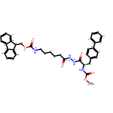 CC(C)(C)OC(=O)N[C@H](Cc1ccc(-c2ccccc2)cc1)C(=O)NNC(=O)CCCCCNC(=O)OCC1c2ccccc2-c2ccccc21